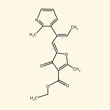 C/C=C(/C=C1\OC(C)=C(C(=O)OCC)C1=O)c1cccnc1C